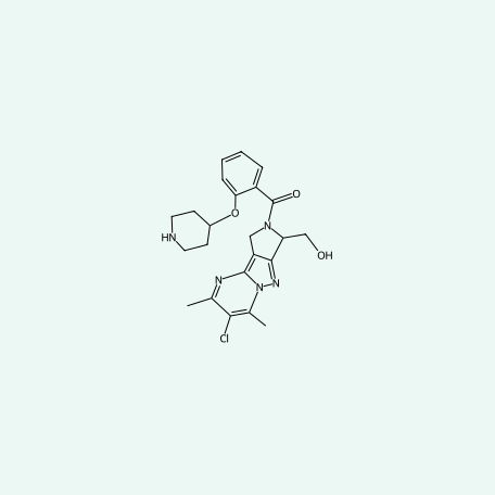 Cc1nc2c3c(nn2c(C)c1Cl)C(CO)N(C(=O)c1ccccc1OC1CCNCC1)C3